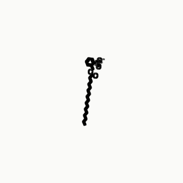 CCCCCCCCCCCCCCCCC(=O)OCc1ccccc1[N+](=O)[O-]